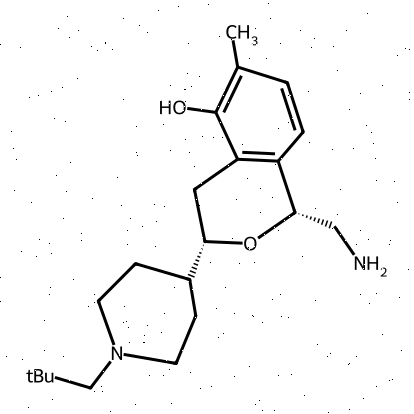 Cc1ccc2c(c1O)C[C@@H](C1CCN(CC(C)(C)C)CC1)O[C@H]2CN